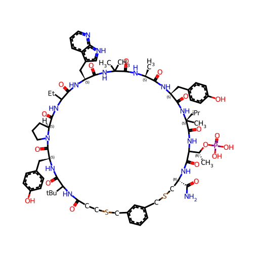 CCC1NC(=O)[C@@H]2CCCN2C(=O)[C@H](Cc2ccc(O)cc2)NC(=O)C(C(C)(C)C)NC(=O)CCSCc2cccc(c2)CSC[C@@H](C(N)=O)NC(=O)C([C@@H](C)OP(=O)(O)O)NC(=O)[C@](C)(C(C)C)NC(=O)[C@H](Cc2ccc(O)cc2)NC(=O)[C@H](C)NC(=O)C(C)(C)NC(=O)[C@H](Cc2c[nH]c3ncccc23)NC1=O